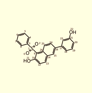 O=S(=O)(c1ccccc1)c1c(O)ccc2cc(-c3cccc(O)c3)ccc12